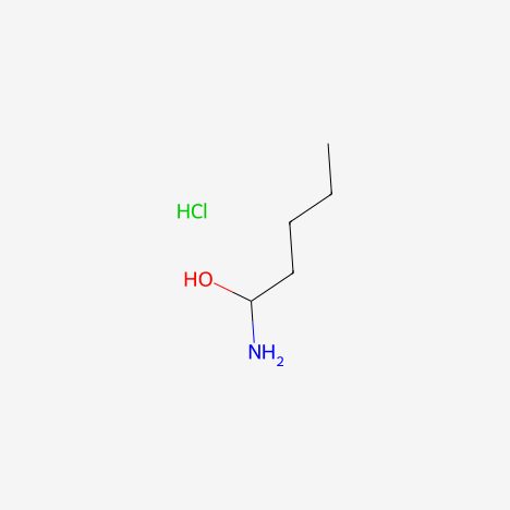 CCCCC(N)O.Cl